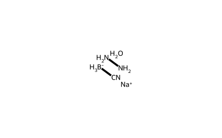 NN.O.[BH3-]C#N.[Na+]